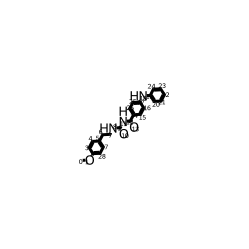 COc1ccc(CCNC(=O)NC(=O)c2ccc(Nc3ccccc3)cc2)cc1